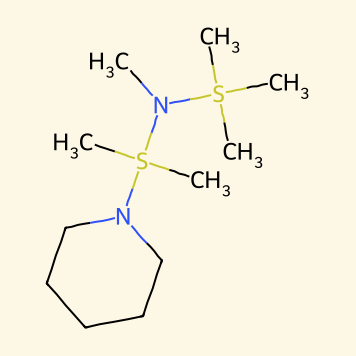 CN(S(C)(C)C)S(C)(C)N1CCCCC1